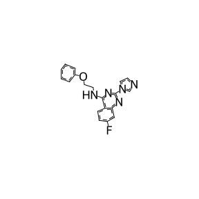 Fc1ccc2c(NCCOc3ccccc3)nc(-n3ccnc3)nc2c1